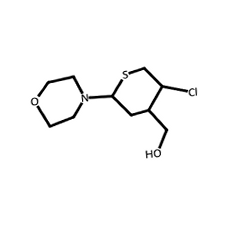 OCC1CC(N2CCOCC2)SCC1Cl